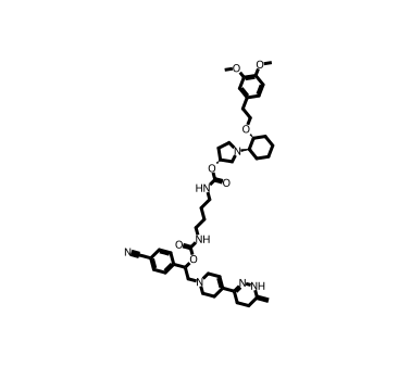 C=C1CCC(C2=CCN(CC(OC(=O)NCCCCNC(=O)O[C@@H]3CCN([C@@H]4CCCC[C@H]4OCCc4ccc(OC)c(OC)c4)C3)c3ccc(C#N)cc3)CC2)=NN1